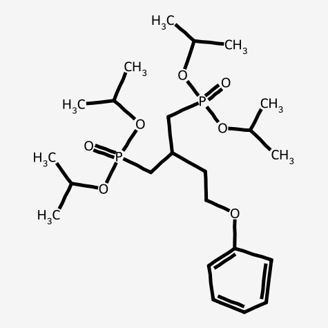 CC(C)OP(=O)(CC(CCOc1ccccc1)CP(=O)(OC(C)C)OC(C)C)OC(C)C